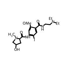 CCN(CC)CCNC(=O)c1cc(I)c(NC(=O)C2CC(O)CN2C)cc1OC